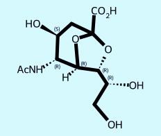 CC(=O)N[C@H]1[C@H]2OC(C(=O)O)(C[C@@H]1O)O[C@@H]2[C@H](O)CO